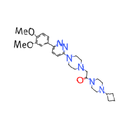 COc1ccc(-c2ccc(N3CCN(CC(=O)N4CCN(C5CCC5)CC4)CC3)nn2)cc1OC